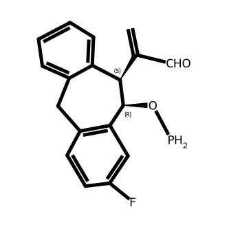 C=C(C=O)[C@@H]1c2ccccc2Cc2ccc(F)cc2[C@@H]1OP